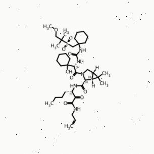 C=CCNC(=O)C(=O)[C@H](CCCC)NC(=O)[C@@H]1[C@@H]2[C@H](CN1C(=O)[C@@H](NC(=O)NC1(CS(=O)(=O)C(C)(C)COC)CCCCC1)C1(C)CCCCC1)C2(C)C